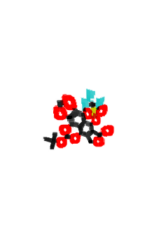 CC(C)(C)OC(=O)Oc1c2c(c(OS(=O)(=O)C(F)(F)F)c3cc4c(cc13)OCO4)C(=O)OC2